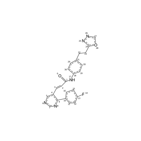 O=C(C=Cc1cncnc1-c1ccc(F)cc1)Nc1ccc(CCc2nnco2)cc1